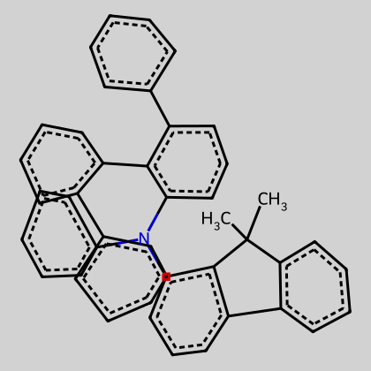 CC1(C)c2ccccc2-c2cccc(N(c3ccccc3)c3cccc(-c4ccccc4)c3-c3ccccc3-c3ccccc3)c21